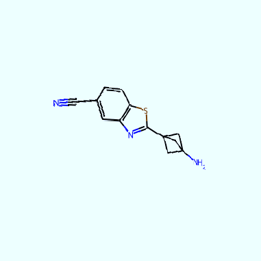 N#Cc1ccc2sc(C34CC(N)(C3)C4)nc2c1